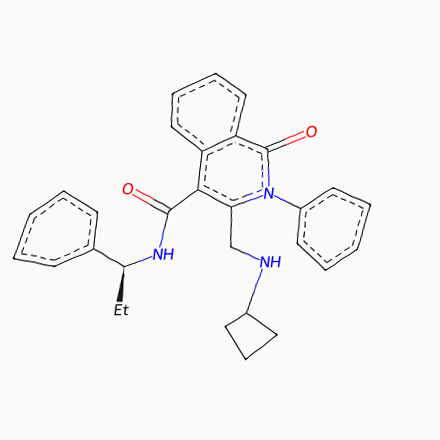 CC[C@H](NC(=O)c1c(CNC2CCC2)n(-c2ccccc2)c(=O)c2ccccc12)c1ccccc1